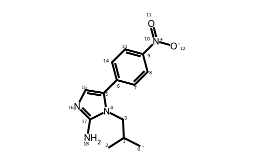 [CH2]C(C)Cn1c(-c2ccc([N+](=O)[O-])cc2)cnc1N